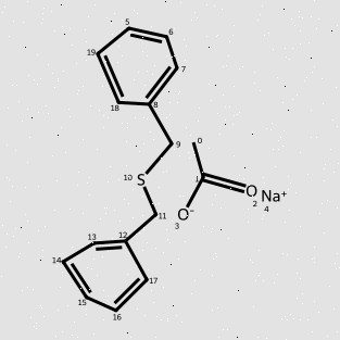 CC(=O)[O-].[Na+].c1ccc(CSCc2ccccc2)cc1